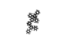 c1ccc(-c2cc(-c3ccccn3)nc(-c3cc(-c4cccc(-c5ccccc5-c5cc(-c6ccccc6)nc(-c6ccccc6)n5)c4)ccn3)c2)cc1